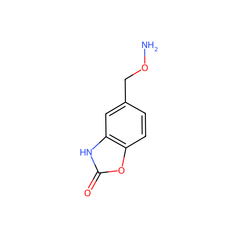 NOCc1ccc2oc(=O)[nH]c2c1